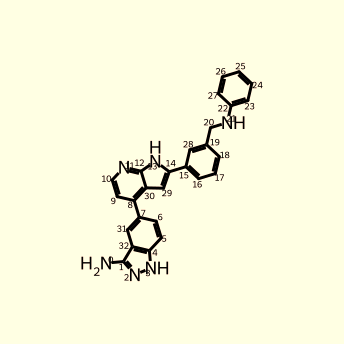 Nc1n[nH]c2ccc(-c3ccnc4[nH]c(-c5cccc(CNc6ccccc6)c5)cc34)cc12